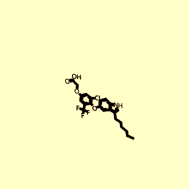 CCCCCCc1c[nH]c2ccc(Oc3c(Cl)cc(OCC(=O)O)cc3C(F)(F)F)cc12